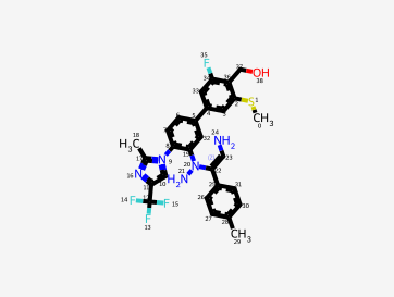 CSc1cc(-c2ccc(-n3cc(C(F)(F)F)nc3C)c(N(N)/C(=C\N)c3ccc(C)cc3)c2)cc(F)c1CO